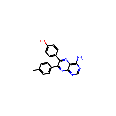 Cc1ccc(-c2nc3ncnc(N)c3nc2-c2ccc(O)cc2)cc1